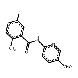 Cc1ccc(F)cc1C(=O)Nc1ccc([C]=O)cn1